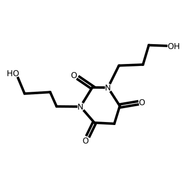 O=C1CC(=O)N(CCCO)C(=O)N1CCCO